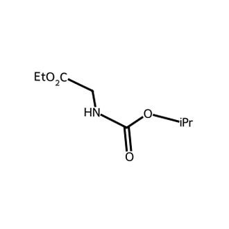 CCOC(=O)CNC(=O)OC(C)C